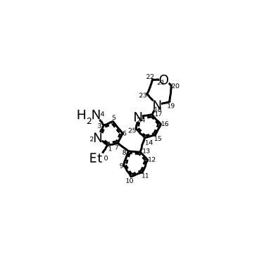 CCc1nc(N)ccc1-c1ccccc1-c1ccc(N2CCOCC2)nc1